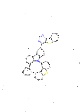 c1ccc2c(c1)sc1c(-c3ccc4c(c3)c3cccc5c6ccccc6c6cccc7sc8cccc(c8c76)n4c53)ncnc12